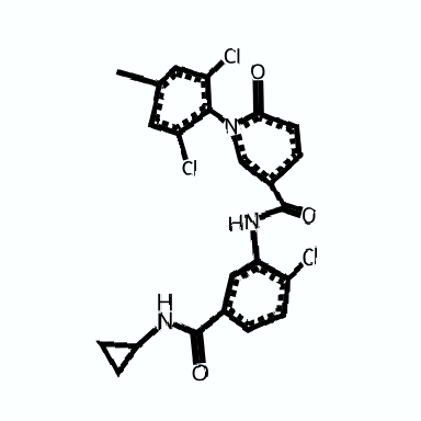 Cc1cc(Cl)c(-n2cc(C(=O)Nc3cc(C(=O)NC4CC4)ccc3Cl)ccc2=O)c(Cl)c1